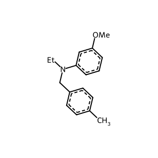 CCN(Cc1ccc(C)cc1)c1cccc(OC)c1